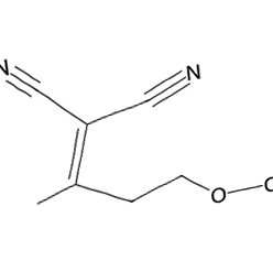 CC(CCOCl)=C(C#N)C#N